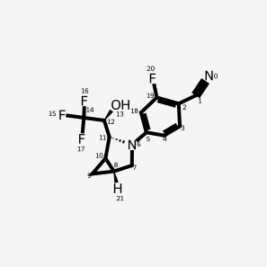 N#Cc1ccc(N2C[C@@H]3CC3[C@@H]2[C@H](O)C(F)(F)F)cc1F